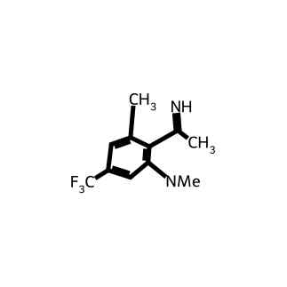 CNc1cc(C(F)(F)F)cc(C)c1C(C)=N